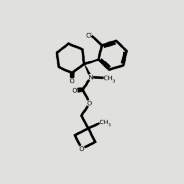 CN(C(=O)OCC1(C)COC1)[C@]1(c2ccccc2Cl)CCCCC1=O